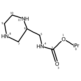 CC(C)OC(=O)NCC1CNCCN1